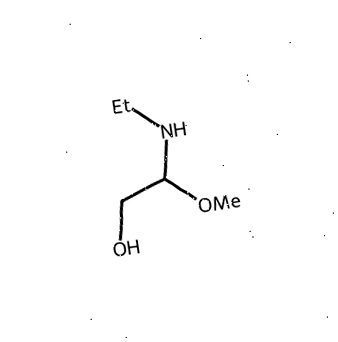 CCNC(CO)OC